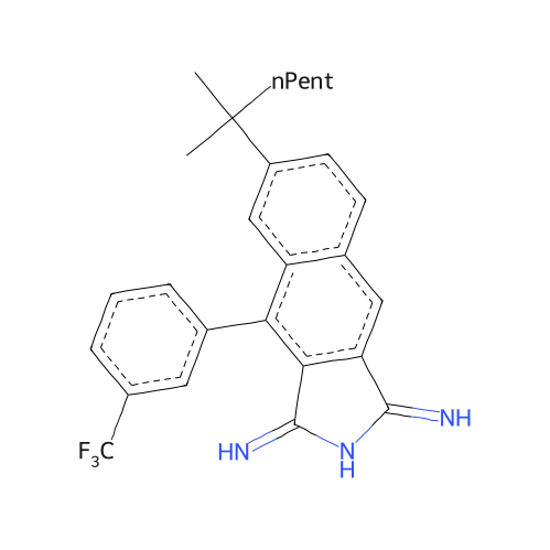 CCCCCC(C)(C)c1ccc2cc3c(c(-c4cccc(C(F)(F)F)c4)c2c1)C(=N)NC3=N